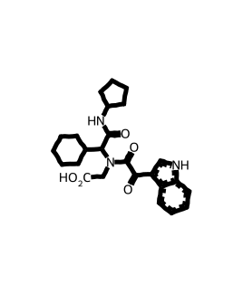 O=C(O)CN(C(=O)C(=O)c1c[nH]c2ccccc12)C(C(=O)NC1CCCC1)C1CCCCC1